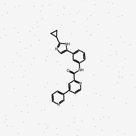 O=C(Nc1cccc(-c2cnc(C3CC3)[nH]2)c1)c1cc(-c2cccnc2)ccn1